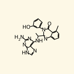 Cc1cccc2nc(C(C)Nc3nc(N)nc4[nH]cnc34)n(-c3cccc(O)c3)c(=O)c12